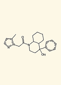 Cc1ccnn1CC(=O)N1CCC(O)(c2ccccc2)C2CCCCC21